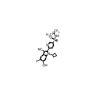 C[C@H](NS(=O)(=O)c1ccc(-c2c(C#N)c3cc(F)c(O)cc3n2C2CCC2)nc1)C(F)(F)F